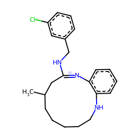 CC1CCCCCNc2ccccc2/N=C(/NCc2cccc(Cl)c2)C1